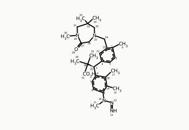 Cc1ccc([C@@H](c2ccc(N(C)N=N)c(C)c2C)C(C)(C)C(=O)O)cc1CN1CC(=O)N(C)CC(C)(C)C1